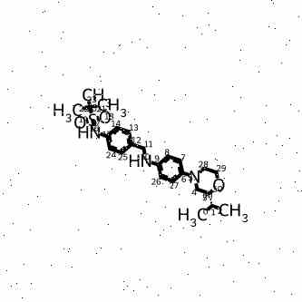 CC(C)[C@@H]1CN(c2ccc(NCc3ccc(NS(=O)(=O)C(C)(C)C)cc3)cc2)CCO1